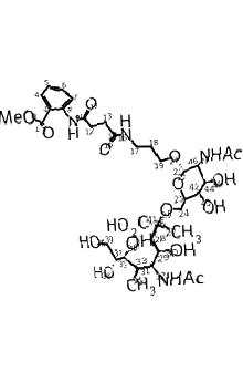 COC(=O)c1ccccc1NC(=O)CCC(=O)NCCCO[C@H]1OC(CO[C@@](C)(C[C@@H](O)[C@@H](NC(C)=O)C(C)[C@H](O)[C@H](O)CO)C(=O)O)[C@H](O)[C@H](O)C1NC(C)=O